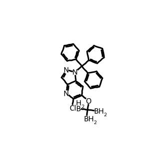 BC(B)(B)Oc1cc2c(cnn2C(c2ccccc2)(c2ccccc2)c2ccccc2)nc1Cl